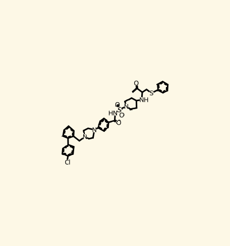 CC(=O)C(CSc1ccccc1)NC1CCN(S(=O)(=O)NC(=O)c2ccc(N3CCN(Cc4ccccc4-c4ccc(Cl)cc4)CC3)cc2)CC1